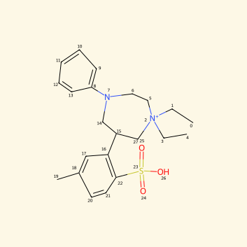 CC[N+]1(CC)CCN(c2ccccc2)CC(c2cc(C)ccc2S(=O)(=O)O)C1